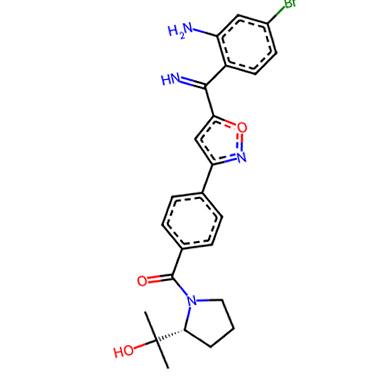 CC(C)(O)[C@H]1CCCN1C(=O)c1ccc(-c2cc(C(=N)c3ccc(Br)cc3N)on2)cc1